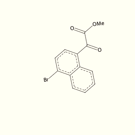 COC(=O)C(=O)c1ccc(Br)c2ccccc12